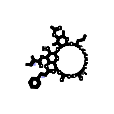 C/C=C(\C)C(=O)OC1C(O)C2OC(COC(=O)CCC(=O)[C@@H](C)CCCCCC(CCC)OC3OC(C)C(OC(C)=O)C(C)C3O2)C1OC(=O)/C=C/c1ccccc1